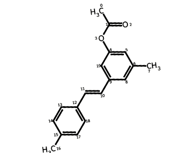 CC(=O)Oc1cc(C)cc(/C=C/c2ccc(C)cc2)c1